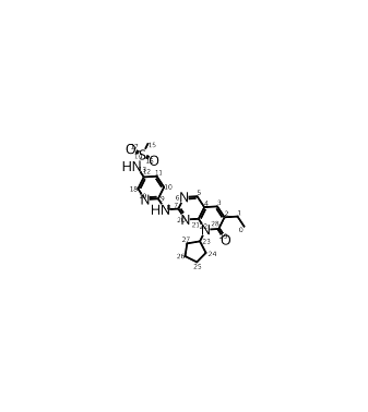 CCc1cc2cnc(Nc3ccc(NS(C)(=O)=O)cn3)nc2n(C2CCCC2)c1=O